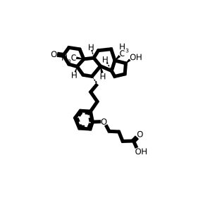 C[C@]12CCC(=O)C[C@@H]1C[C@@H](CCCc1ccccc1OCCCC(=O)O)[C@@H]1[C@@H]2CC[C@]2(C)[C@@H](O)CC[C@@H]12